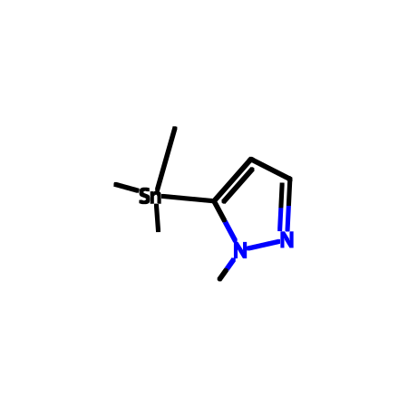 Cn1ncc[c]1[Sn]([CH3])([CH3])[CH3]